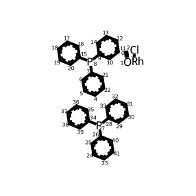 [C]=O.[Cl][Rh].c1ccc(P(c2ccccc2)c2ccccc2)cc1.c1ccc(P(c2ccccc2)c2ccccc2)cc1